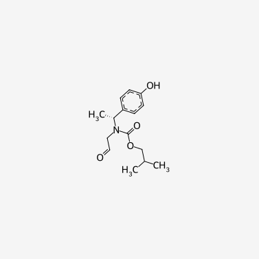 CC(C)COC(=O)N(CC=O)[C@H](C)c1ccc(O)cc1